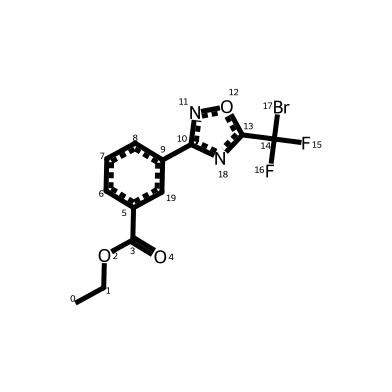 CCOC(=O)c1cccc(-c2noc(C(F)(F)Br)n2)c1